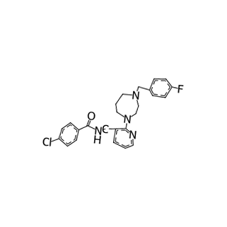 O=C(NCc1cccnc1N1CCCN(Cc2ccc(F)cc2)CC1)c1ccc(Cl)cc1